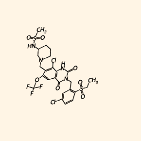 CCS(=O)(=O)c1ccc(Cl)cc1Cn1c(=O)[nH]c2c(Cl)c(CN3CCCC(NS(C)(=O)=O)C3)c(OC(F)(F)F)cc2c1=O